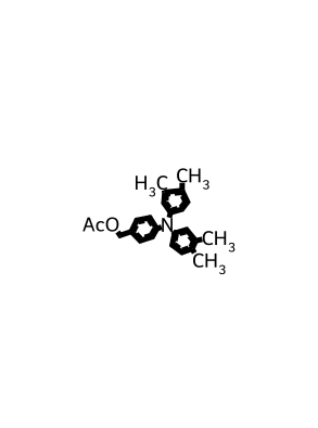 CC(=O)OCc1ccc(N(c2ccc(C)c(C)c2)c2ccc(C)c(C)c2)cc1